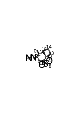 C=C1C(=[N+]=[N-])C=C(S(C)(=O)=O)c2ccccc21